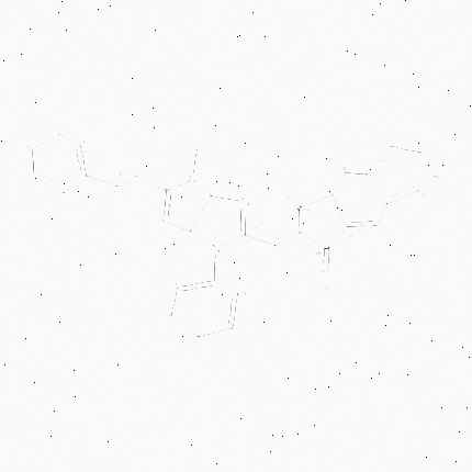 Cn1c(/C=C/c2ccccc2)cc2c1nc(C=C1C(=O)c3cc4ccccc4cc3C1=O)n2-c1ccccc1